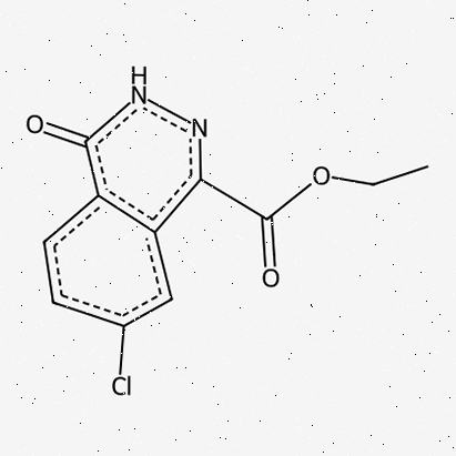 CCOC(=O)c1n[nH]c(=O)c2ccc(Cl)cc12